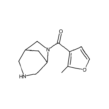 Cc1occc1C(=O)N1CC2CNCC1C2